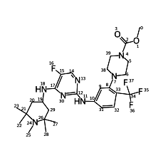 COC(=O)N1CCN(c2cc(Nc3ncc(F)c(NC4CC(C)(C)N(C)C(C)(C)C4)n3)ccc2C(F)(F)F)CC1